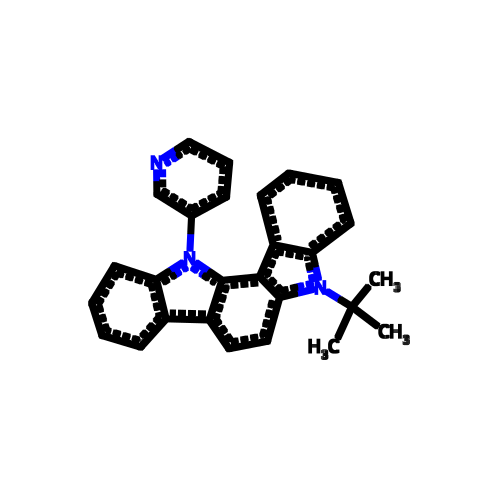 CC(C)(C)n1c2ccccc2c2c3c(ccc21)c1ccccc1n3-c1cccnc1